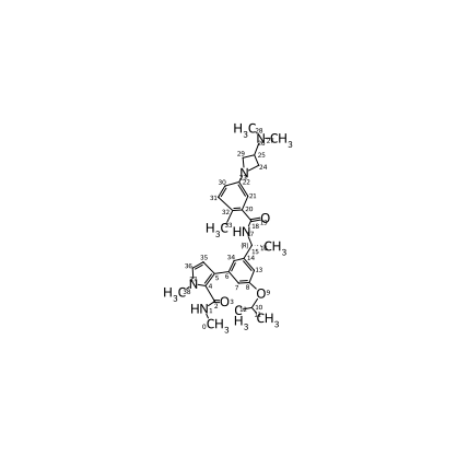 CNC(=O)c1c(-c2cc(OC(C)C)cc([C@@H](C)NC(=O)c3cc(N4CC(N(C)C)C4)ccc3C)c2)ccn1C